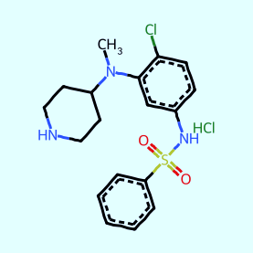 CN(c1cc(NS(=O)(=O)c2ccccc2)ccc1Cl)C1CCNCC1.Cl